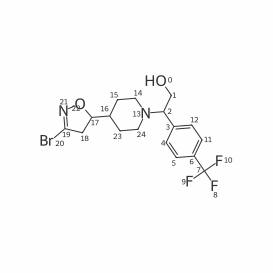 OCC(c1ccc(C(F)(F)F)cc1)N1CCC(C2CC(Br)=NO2)CC1